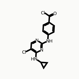 O=C(Cl)c1ccc(Nc2ncc(Cl)c(NC3CC3)n2)cc1